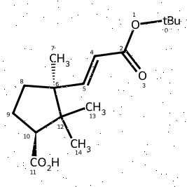 CC(C)(C)OC(=O)/C=C/[C@]1(C)CC[C@H](C(=O)O)C1(C)C